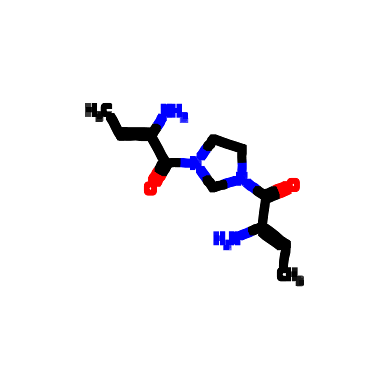 CC=C(N)C(=O)N1CCN(C(=O)C(N)=CC)C1